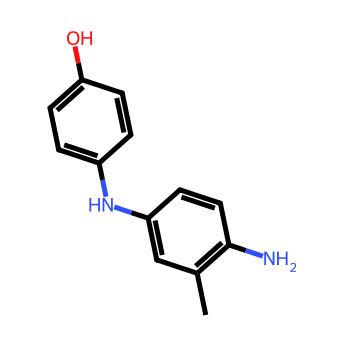 Cc1cc(Nc2ccc(O)cc2)ccc1N